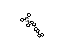 c1ccc(-c2cc(-c3ccccc3)nc(-n3c4ccccc4c4c5cc(-c6ccc7cc(-c8cccc9ccccc89)ccc7c6)ccc5ccc43)n2)cc1